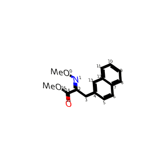 CON=C(Cc1ccc2ccccc2c1)C(=O)OC